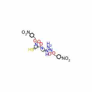 NC(=NC(=O)OCc1ccc([N+](=O)[O-])cc1)N[C@H]1CCN(C(=O)[C@@H]2C[C@H](S)CN2C(=O)OCc2ccc([N+](=O)[O-])cc2)C1